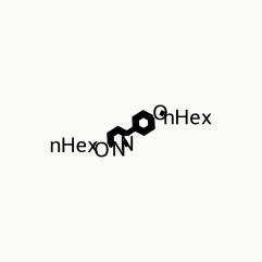 CCCCCCOc1ccc(-c2ccc(OCCCCCC)nn2)cc1